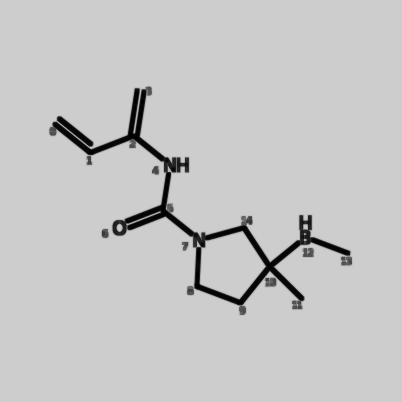 C=CC(=C)NC(=O)N1CCC(C)(BC)C1